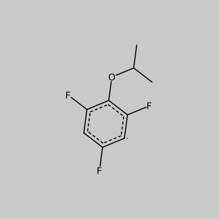 CC(C)Oc1c(F)[c]c(F)cc1F